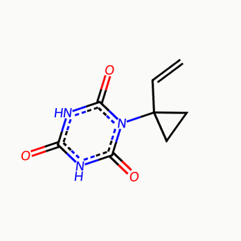 C=CC1(n2c(=O)[nH]c(=O)[nH]c2=O)CC1